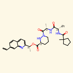 C=Cc1ccc2ccc([C@@H](C)OC(=O)[C@@H]3CCCN(C(=O)[C@H](C)NC(=O)[C@@H](NC(=O)C4(C)CCCC4)C(C)C)N3)nc2c1